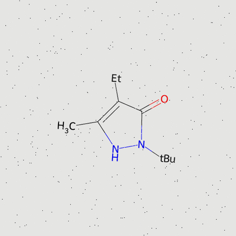 CCc1c(C)[nH]n(C(C)(C)C)c1=O